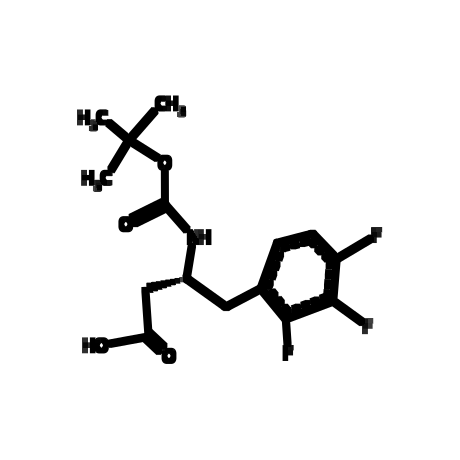 CC(C)(C)OC(=O)N[C@@H](CC(=O)O)Cc1ccc(F)c(F)c1F